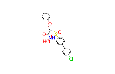 O=C(NO)C(COc1ccccc1)CS(=O)(=O)c1ccc(-c2ccc(Cl)cc2)cc1